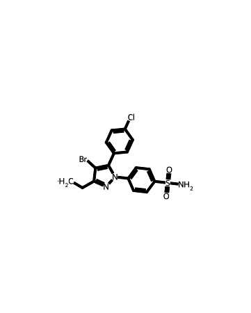 [CH2]Cc1nn(-c2ccc(S(N)(=O)=O)cc2)c(-c2ccc(Cl)cc2)c1Br